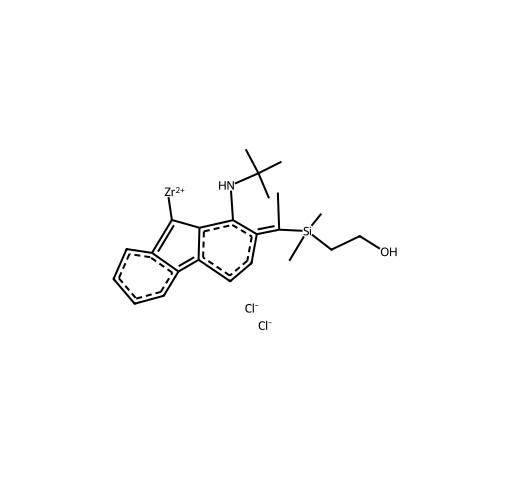 CC(=c1ccc2c(c1NC(C)(C)C)[C]([Zr+2])=c1ccccc1=2)[Si](C)(C)CCO.[Cl-].[Cl-]